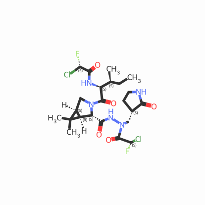 CC[C@H](C)[C@H](NC(=O)[C@@H](F)Cl)C(=O)N1C[C@H]2[C@@H]([C@H]1C(=O)NN(C[C@@H]1CCNC1=O)C(=O)[C@@H](F)Cl)C2(C)C